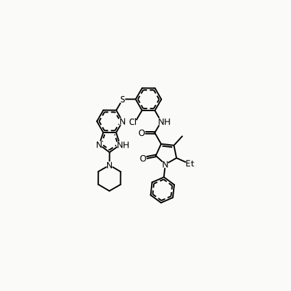 CCC1C(C)=C(C(=O)Nc2cccc(Sc3ccc4nc(N5CCCCC5)[nH]c4n3)c2Cl)C(=O)N1c1ccccc1